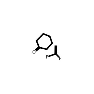 C=C(F)F.O=C1CCCCC1